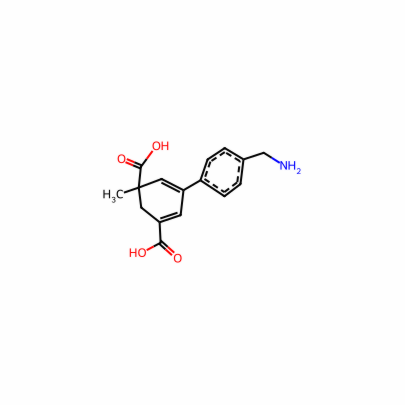 CC1(C(=O)O)C=C(c2ccc(CN)cc2)C=C(C(=O)O)C1